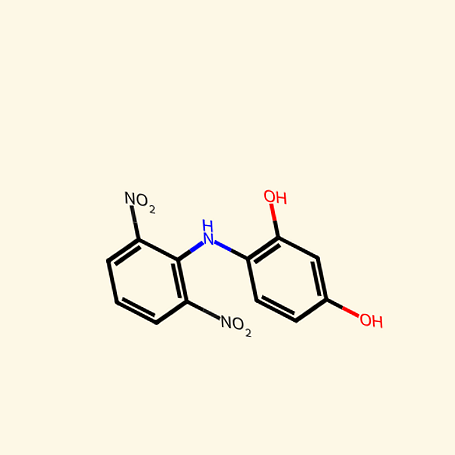 O=[N+]([O-])c1cccc([N+](=O)[O-])c1Nc1ccc(O)cc1O